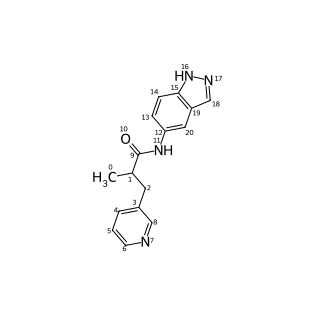 CC(Cc1cccnc1)C(=O)Nc1ccc2[nH]ncc2c1